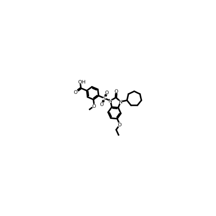 CCOc1ccc2c(c1)n(C1CCCCCC1)c(=O)n2S(=O)(=O)c1ccc(C(=O)O)cc1OC